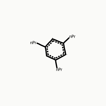 CCCc1[c]c(CCC)cc(CCC)[c]1